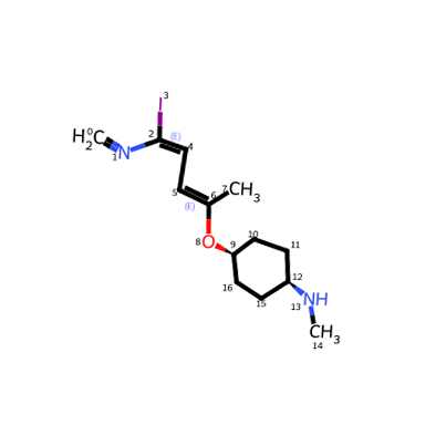 C=N/C(I)=C\C=C(/C)O[C@H]1CC[C@@H](NC)CC1